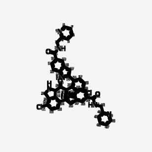 O=C(NCc1ccccn1)c1ccc2[nH]c(-c3ccc(Cl)c4c3C(C(=O)C3NCc5c(Cl)ccc(-c6cc7cc(C(=O)NCc8ccccn8)ccc7[nH]6)c53)NC4)cc2c1